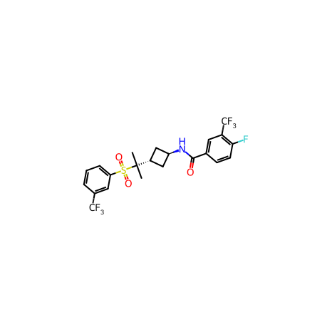 CC(C)([C@H]1C[C@H](NC(=O)c2ccc(F)c(C(F)(F)F)c2)C1)S(=O)(=O)c1cccc(C(F)(F)F)c1